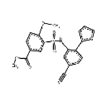 COC(=O)c1ccc(OC)c(S(=O)(=O)Nc2cc(C#N)ccc2-c2cccs2)c1